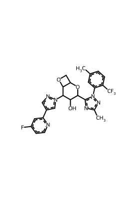 Cc1ccc(C(F)(F)F)c(-n2nc(C)nc2C2OC3COC3C(n3cc(-c4cc(F)ccn4)cn3)C2O)c1